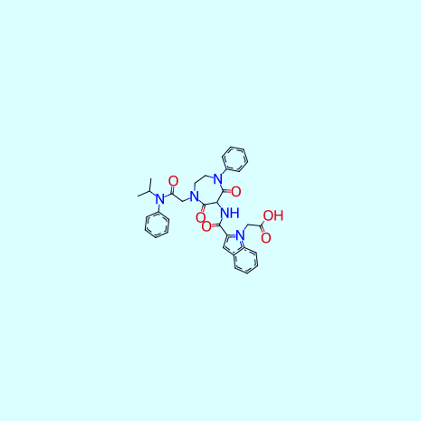 CC(C)N(C(=O)CN1CCN(c2ccccc2)C(=O)C(NC(=O)c2cc3ccccc3n2CC(=O)O)C1=O)c1ccccc1